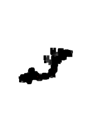 Cc1cc(-c2ccc3c4cnccc4n(C)c3c2)cnc1OC1CC(Oc2ccc(C#CCOCCOc3ccc4c(c3)CN(C3CCC(=O)NC3=O)C4=O)nc2)C1